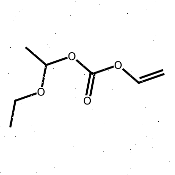 C=COC(=O)OC(C)OCC